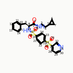 O=C(NCCC1CC1)[C@H](Cc1ccccc1)NS(=O)(=O)c1ccc(S(=O)(=O)c2cccnc2)cc1